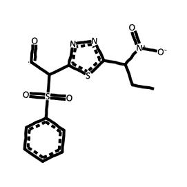 CCC(c1nnc(C([C]=O)S(=O)(=O)c2ccccc2)s1)[N+](=O)[O-]